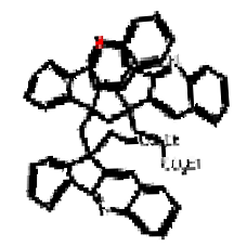 CCOC(=O)CCC1(CC2(CC3(CCC(=O)OCC)c4ccccc4-c4nc5ccccc5cc43)c3ccccc3-c3nc4ccccc4cc32)c2ccccc2-c2nc3ccccc3cc21